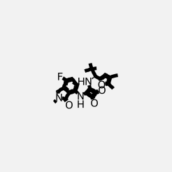 Cc1cc([C@H](Nc2c(Nc3ccc(F)c4c3C(=O)N(C)C4)c(=O)c2=O)C(C)(C)C)oc1C